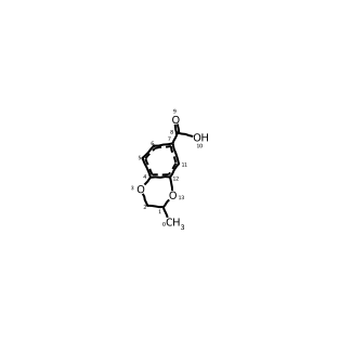 CC1COc2ccc(C(=O)O)cc2O1